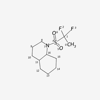 CC(F)(F)S(=O)(=O)N1CCCC2CCCCC21